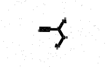 C#CC(CC)OC(C)=O